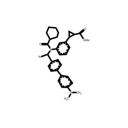 [2H]C(c1ccc(-c2ccc(N(C)C)cc2)cc1)N(C(=O)C1CCCCC1)c1cccc(C2CC2C(=O)OC)c1